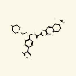 Cc1n[nH]cc1-c1ccc([C@@H](CCN2CCC(O)CC2)NC(=O)c2nc3cc4c(nc3s2)CC[C@H](C(C)(C)C)C4)cc1